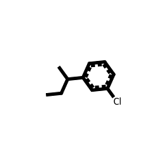 CC[C](C)c1cccc(Cl)c1